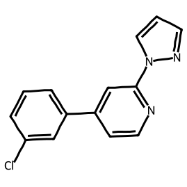 Clc1cccc(-c2ccnc(-n3cccn3)c2)c1